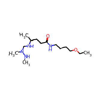 CCOCCCCNC(=O)CCC(C)NCN(C)NC